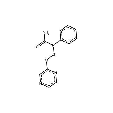 NC(=O)N(SOc1cnccn1)c1ccccc1